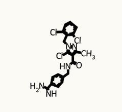 Cc1nn(Cc2c(Cl)cccc2Cl)c(Cl)c1C(=O)NCc1ccc(C(=N)N)cc1